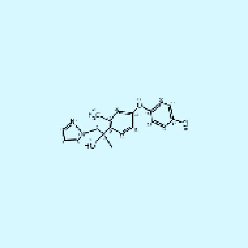 CC(O)(Cn1cccn1)c1ccc(Oc2ccc(Cl)cc2)cc1C(F)(F)F